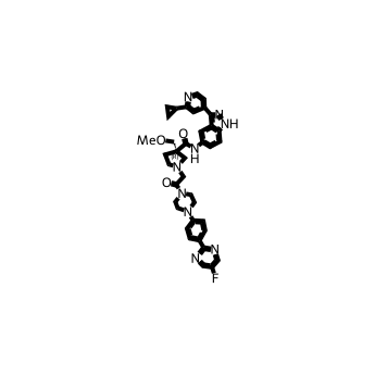 COC[C@@]1(C(=O)Nc2ccc3[nH]nc(-c4ccnc(C5CC5)c4)c3c2)CCN(CC(=O)N2CCN(c3ccc(-c4ncc(F)cn4)cc3)CC2)C1